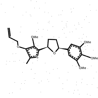 C=CCOc1c(C)sc([C@H]2CC[C@@H](c3cc(OC)c(OC)c(OC)c3)O2)c1OC